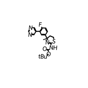 CC(C)(C)OC(=O)NC1=N[C@](C)(c2ccc(F)c(-c3cncnc3)c2)CCS1